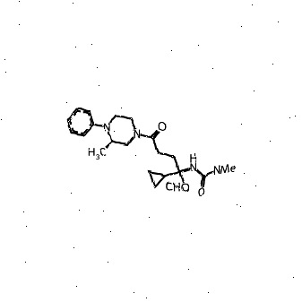 CNC(=O)NC(C=O)(CCC(=O)N1CCN(c2ccccc2)[C@H](C)C1)C1CC1